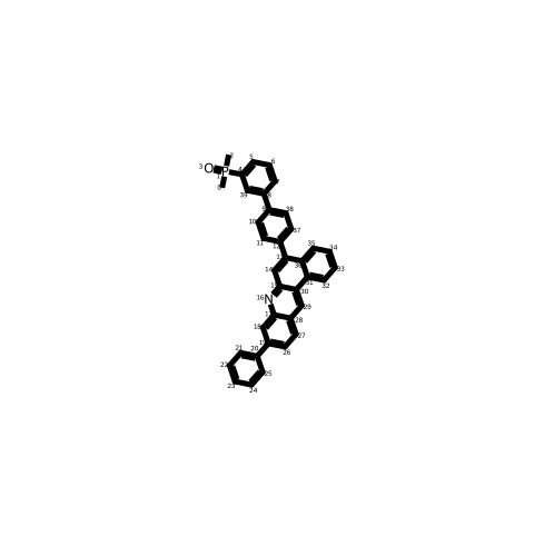 CP(C)(=O)c1cccc(-c2ccc(-c3cc4nc5cc(-c6ccccc6)ccc5cc4c4ccccc34)cc2)c1